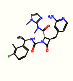 CCC[C@@H](NC(=O)N1C(=O)[C@H](Cc2ccnc(N)c2)[C@H]1C(=O)N(C)c1nccn1C)c1cccc(F)c1C